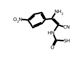 N#CC(NC(=O)S)=C(N)c1ccc([N+](=O)[O-])cc1